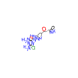 Nc1nc(N)c(C(=O)/N=C2\NCC3(CCC(C(=O)CCc4c[nH]c5ccccc45)CC3)N2)nc1Cl